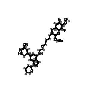 CC(C)(C)OC(=O)N(CCCCOCCNc1cc(C2=CC(C#N)=NNC2)cc2c1cnn2C1CCCCO1)Cc1cc(F)c(OC(F)(F)F)c(F)c1